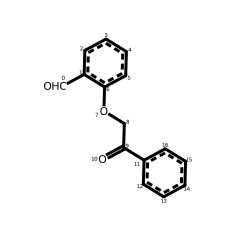 O=Cc1ccccc1OCC(=O)c1ccccc1